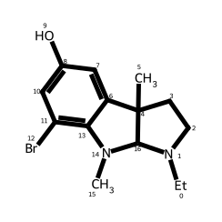 CCN1CCC2(C)c3cc(O)cc(Br)c3N(C)C12